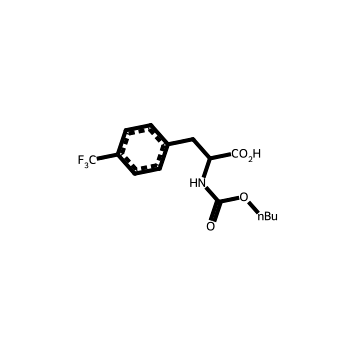 CCCCOC(=O)NC(Cc1ccc(C(F)(F)F)cc1)C(=O)O